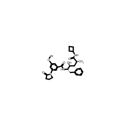 CC(C)Oc1cc(C(=O)N[C@@H](Cc2ccccc2)[C@@H](O)C[C@@H](C)C(=O)NC2CCC2)cc(N2CCCC2=O)c1